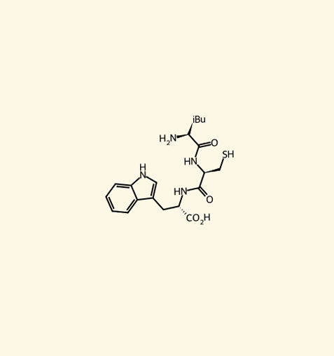 CC[C@H](C)[C@H](N)C(=O)N[C@@H](CS)C(=O)N[C@@H](Cc1c[nH]c2ccccc12)C(=O)O